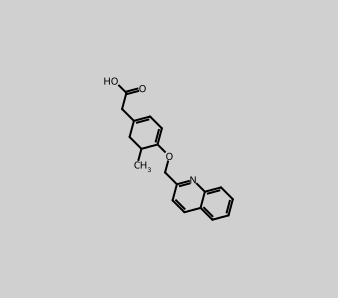 CC1CC(CC(=O)O)=CC=C1OCc1ccc2ccccc2n1